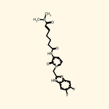 CN(C)C(=O)/C=C/CC[CH]C(=O)Nc1cccn(Cc2nc3cc(F)c(F)cc3[nH]2)c1=O